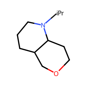 CC(C)N1CCCC2COCCC21